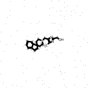 Cc1nc(CO)sc1CN1CCC2(C=Cc3ccccc32)CC1